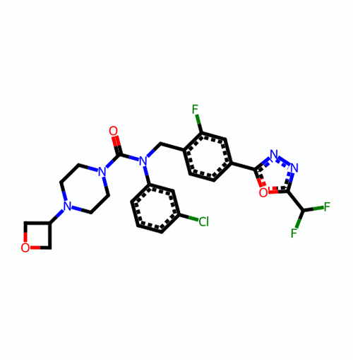 O=C(N1CCN(C2COC2)CC1)N(Cc1ccc(-c2nnc(C(F)F)o2)cc1F)c1cccc(Cl)c1